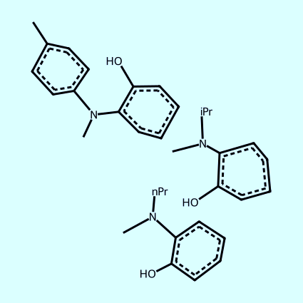 CC(C)N(C)c1ccccc1O.CCCN(C)c1ccccc1O.Cc1ccc(N(C)c2ccccc2O)cc1